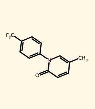 Cc1ccc(=O)n(-c2ccc(C(F)(F)F)cc2)c1